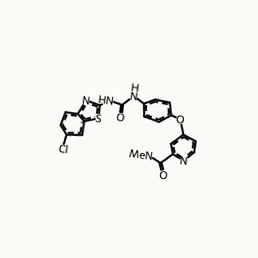 CNC(=O)c1cc(Oc2ccc(NC(=O)Nc3nc4ccc(Cl)cc4s3)cc2)ccn1